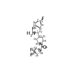 NC(Cc1cc(F)ccc1F)C1CCN(C(=O)N2CCC(F)(F)C2)CC1